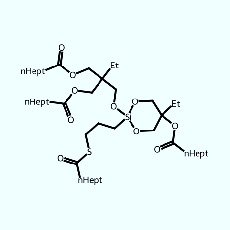 CCCCCCCC(=O)OCC(CC)(COC(=O)CCCCCCC)CO[Si]1(CCCSC(=O)CCCCCCC)OCC(CC)(OC(=O)CCCCCCC)CO1